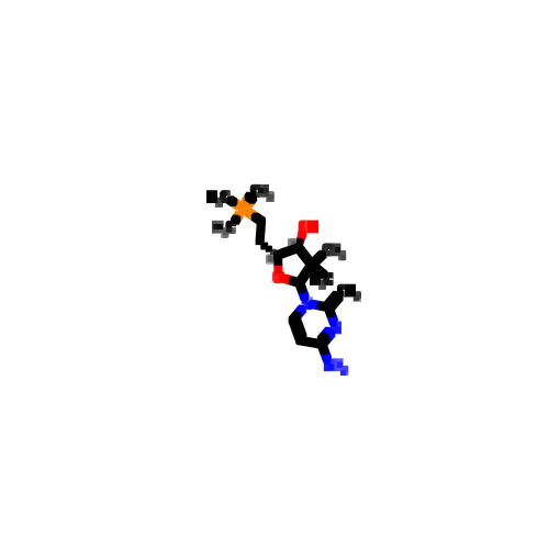 C=C1N=C(N)C=CN1C1O[C@H](CCP(=C)(C)C)[C@@H](O)C1(C)C